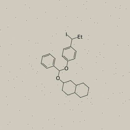 CCC(I)c1ccc(OC(OC2CCC3CCCCC3C2)c2ccccc2)cc1